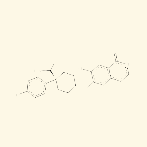 CCC(N)[C@]1(c2ccc(F)cc2)CC[C@@H](Oc2cc3cc[nH]c(=O)c3cc2Cl)CC1